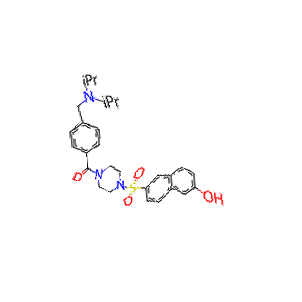 CC(C)N(Cc1ccc(C(=O)N2CCN(S(=O)(=O)c3ccc4cc(O)ccc4c3)CC2)cc1)C(C)C